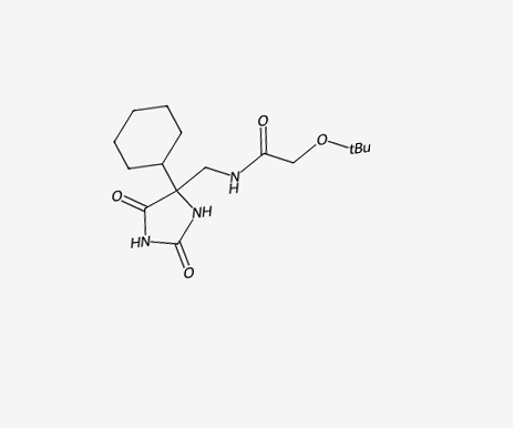 CC(C)(C)OCC(=O)NCC1(C2CCCCC2)NC(=O)NC1=O